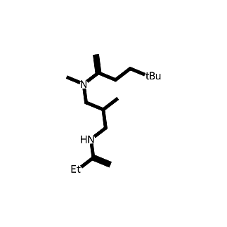 C=C(CC)NCC(C)CN(C)C(=C)CCC(C)(C)C